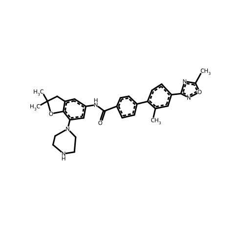 Cc1nc(-c2ccc(-c3ccc(C(=O)Nc4cc5c(c(N6CCNCC6)c4)OC(C)(C)C5)cc3)c(C)c2)no1